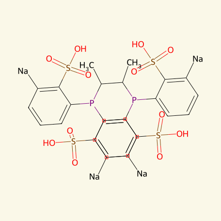 CC(C(C)P(c1ccc[c]([Na])c1S(=O)(=O)O)c1ccc[c]([Na])c1S(=O)(=O)O)P(c1ccc[c]([Na])c1S(=O)(=O)O)c1ccc[c]([Na])c1S(=O)(=O)O